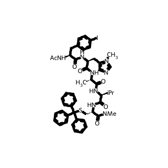 CNC(=O)[C@H](CSC(c1ccccc1)(c1ccccc1)c1ccccc1)NC(=O)[C@@H](NC(=O)[C@H](C)NC(=O)[C@H](Cc1cncn1C)NC(=O)[C@H](Cc1ccc(I)cc1)NC(C)=O)C(C)C